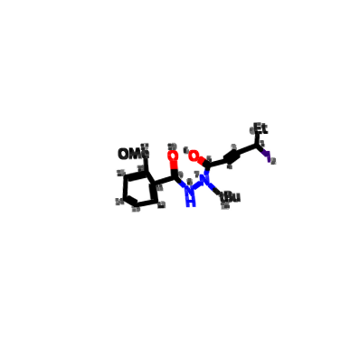 CCC(I)C#CC(=O)N(NC(=O)c1ccccc1OC)C(C)(C)C